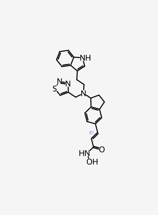 O=C(/C=C/c1ccc2c(c1)CCC2N(CCc1c[nH]c2ccccc12)Cc1csnn1)NO